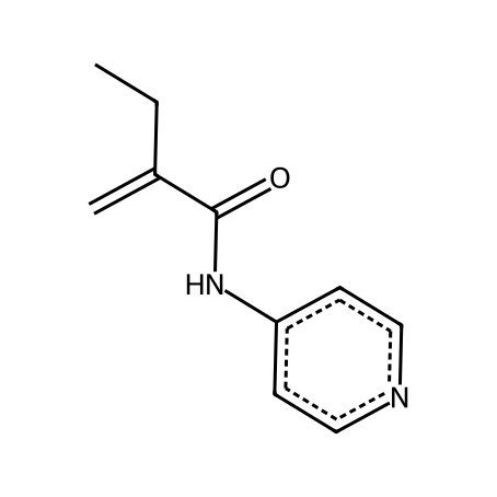 C=C(CC)C(=O)Nc1ccncc1